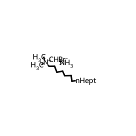 CCCCCCCCCCCCCC[N+](C)(C)C.N.[Br-]